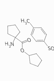 Cc1ccc(S(=O)(=O)O)cc1.NC1(C(=O)OC2CCCC2)CCCC1